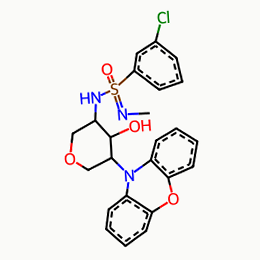 CN=S(=O)(NC1COCC(N2c3ccccc3Oc3ccccc32)C1O)c1cccc(Cl)c1